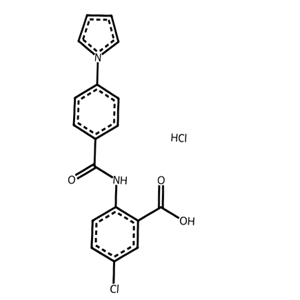 Cl.O=C(Nc1ccc(Cl)cc1C(=O)O)c1ccc(-n2cccc2)cc1